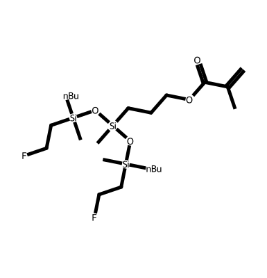 C=C(C)C(=O)OCCC[Si](C)(O[Si](C)(CCF)CCCC)O[Si](C)(CCF)CCCC